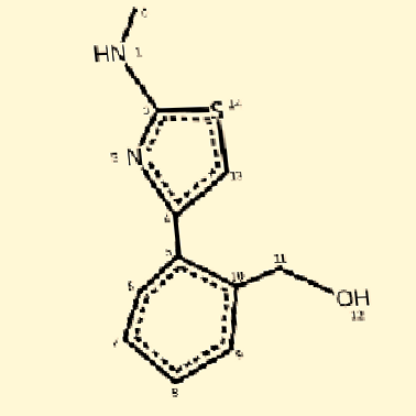 CNc1nc(-c2ccccc2CO)cs1